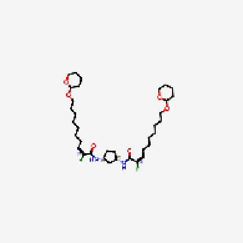 O=C(N[C@@H]1CC[C@H](NC(=O)/C(F)=C\CCCCCCCOC2CCCCO2)C1)/C(F)=C\CCCCCCCOC1CCCCO1